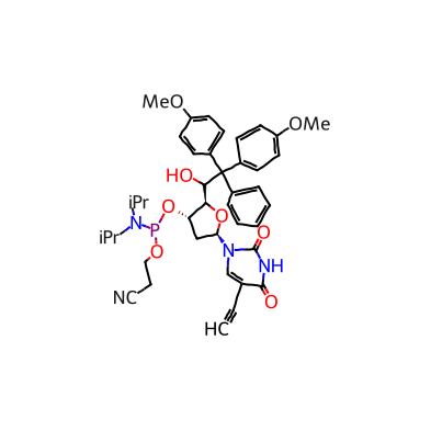 C#Cc1cn([C@H]2C[C@H](OP(OCCC#N)N(C(C)C)C(C)C)[C@@H](C(O)C(c3ccccc3)(c3ccc(OC)cc3)c3ccc(OC)cc3)O2)c(=O)[nH]c1=O